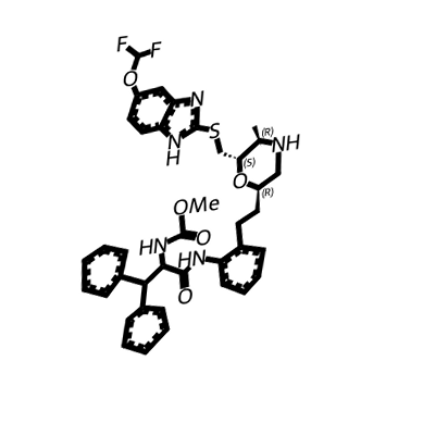 COC(=O)NC(C(=O)Nc1ccccc1CC[C@@H]1CN[C@H](C)[C@@H](CSc2nc3cc(OC(F)F)ccc3[nH]2)O1)C(c1ccccc1)c1ccccc1